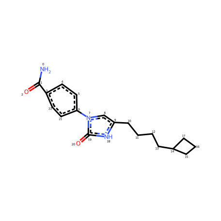 NC(=O)c1ccc(-n2cc(CCCCC3CCC3)[nH]c2=O)cc1